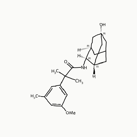 COc1cc(C)cc(C(C)(C)C(=O)N[C@H]2[C@@H]3CC4C[C@H]2C[C@](O)(C4)C3)c1